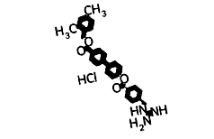 Cc1ccc(COC(=O)c2ccc(-c3ccc(OC(=O)[C@H]4CC[C@H](CNC(=N)N)CC4)cc3)cc2)c(C)c1.Cl